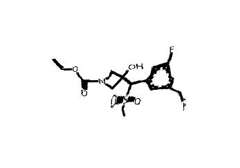 C=COC(=O)N1CC(O)(C(c2cc(F)cc(F)c2)S(C)(=O)=O)C1